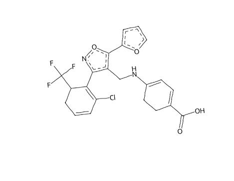 O=C(O)C1=CC=C(NCc2c(C3=C(Cl)C=CCC3C(F)(F)F)noc2-c2ccco2)CC1